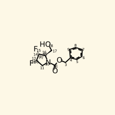 O=C(OCc1ccccc1)N1C[C@H](F)[C@H](F)[C@H]1CO